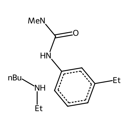 CCCCNCC.CCc1cccc(NC(=O)NC)c1